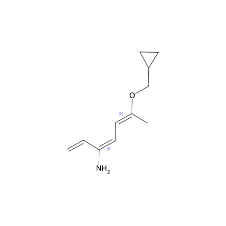 C=C/C(N)=C\C=C(/C)OCC1CC1